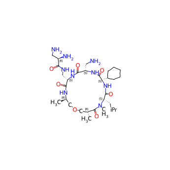 CC(C)C[C@H]1C(=O)N[C@@H](C2CCCCC2)C(=O)N[C@@H](CN)C(=O)N[C@@H](CNC(=O)[C@H](N)CN)C(=O)N[C@H](C)COC[C@@H](C)C(=O)N1C